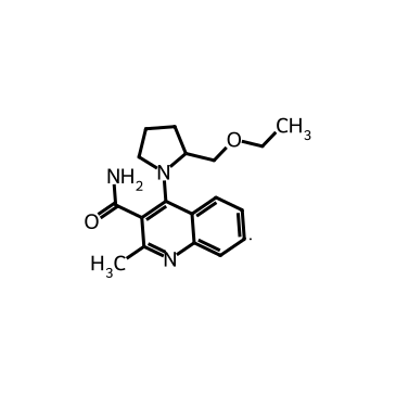 CCOCC1CCCN1c1c(C(N)=O)c(C)nc2c[c]ccc12